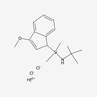 COC1=CC([Si](C)(C)NC(C)(C)C)c2ccccc21.[Cl-].[Cl-].[Hf+2]